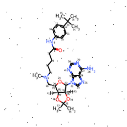 CN(CCCCC(=O)Nc1ccc(C(C)(C)C)cc1)C[C@H]1OC(n2cnc3c(N)ncnc32)[C@@H]2OC(C)(C)O[C@H]12